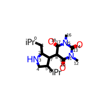 CC(C)CC1NCC(C(C)C)C1C1C(=O)N(C)C(=O)N(C)C1=O